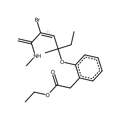 C=C(NC)/C(Br)=C\C(C)(CC)Oc1ccccc1CC(=O)OCC